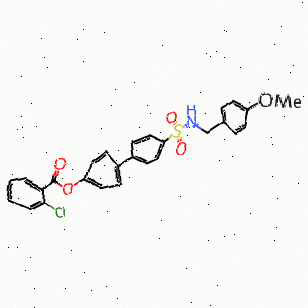 COc1ccc(CNS(=O)(=O)c2ccc(-c3ccc(OC(=O)c4ccccc4Cl)cc3)cc2)cc1